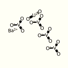 [Ba+2].[O]=[U+2]=[O].[O]=[V](=[O])[O-].[O]=[V](=[O])[O-].[O]=[V](=[O])[O-].[O]=[V](=[O])[O-]